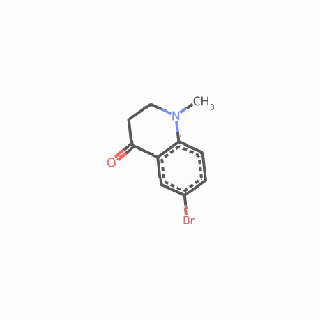 CN1CCC(=O)c2cc(Br)ccc21